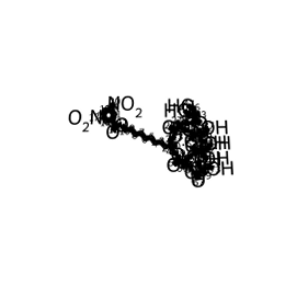 [CH2]C(CCCCCCCCCOC(=O)c1cc([N+](=O)[O-])cc([N+](=O)[O-])c1)(COC(=O)C(C)(COC(=O)C(C)(CO)CO)COC(=O)C(C)(CO)CO)COC(=O)C(C)(COC(=O)C(C)(CO)CO)COC(=O)C(C)(CO)CO